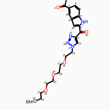 CCC(=O)c1ccc2[nH]c(C(=O)c3cn(CCOCCOCCOCCOC)nn3)cc2c1